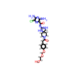 Nc1nc(N)c(C(=O)/N=C2\NCC3(CCN(C(=O)Cc4ccc(OCOCCO)cc4)CC3)N2)nc1Cl